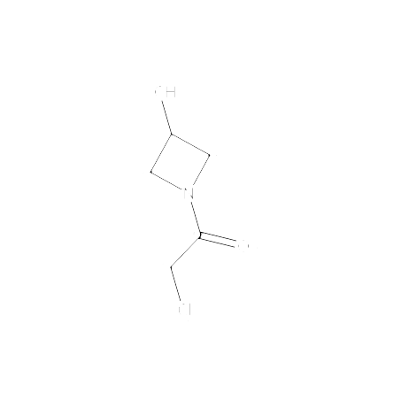 CC1CN(C(=O)CCl)C1